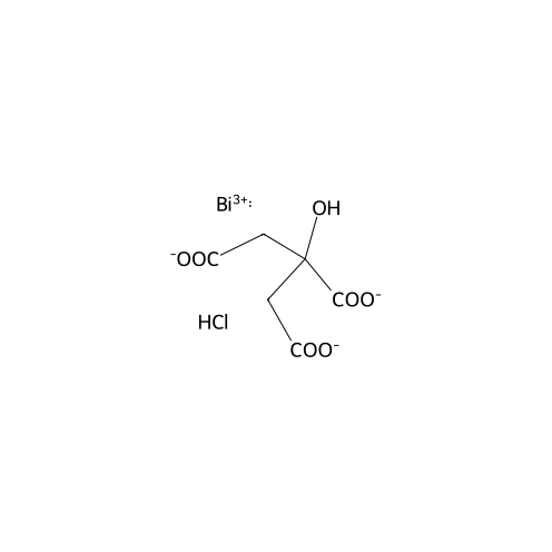 Cl.O=C([O-])CC(O)(CC(=O)[O-])C(=O)[O-].[Bi+3]